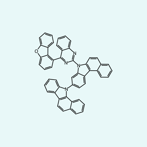 c1ccc2c(c1)ccc1c2c2ccc(-n3c4ccccc4c4ccc5ccccc5c43)cc2n1-c1nc(-c2cccc3oc4ccccc4c23)c2ccccc2n1